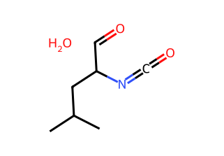 CC(C)CC(C=O)N=C=O.O